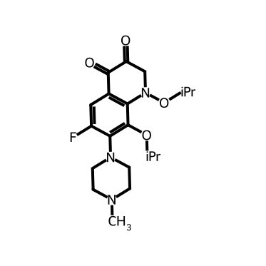 CC(C)Oc1c(N2CCN(C)CC2)c(F)cc2c1N(OC(C)C)CC(=O)C2=O